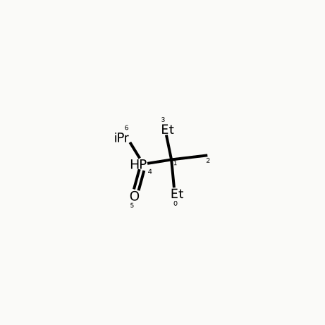 CCC(C)(CC)[PH](=O)C(C)C